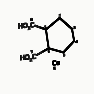 O=C(O)C1CCCCC1C(=O)O.[Ce]